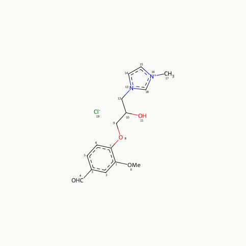 COc1cc(C=O)ccc1OCC(O)Cn1cc[n+](C)c1.[Cl-]